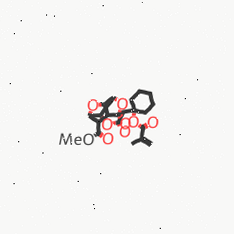 C=C(C)C(=O)OC1(CC(=O)OC2C3OC(=O)C4C3OC2C4C(=O)OC)CCCCC1